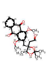 COc1cc(C[C@@]2(CC=O)OC(C)(C)O[C@H]2C)c(OC)c2c1C(=O)c1ccccc1C2=O